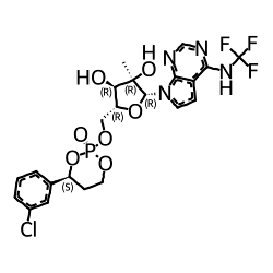 C[C@@]1(O)[C@H](O)[C@@H](COP2(=O)OCC[C@@H](c3cccc(Cl)c3)O2)O[C@H]1n1ccc2c(NC(F)(F)F)ncnc21